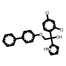 OC(COc1ccc(-c2ccccc2)cc1)(c1ccc[nH]1)c1ccc(Cl)cc1Cl